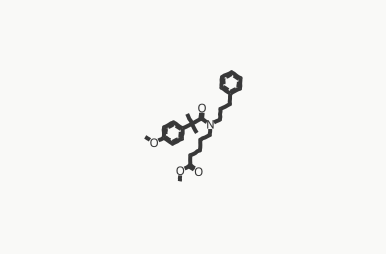 COC(=O)CCCCN(CCCc1ccccc1)C(=O)C(C)(C)c1ccc(OC)cc1